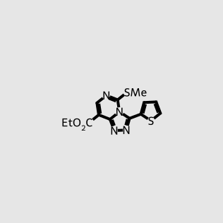 CCOC(=O)c1cnc(SC)n2c(-c3cccs3)nnc12